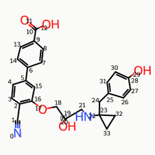 N#Cc1ccc(-c2ccc(C(=O)O)cc2)cc1OC[C@H](O)CNC1(Cc2ccc(O)cc2)CC1